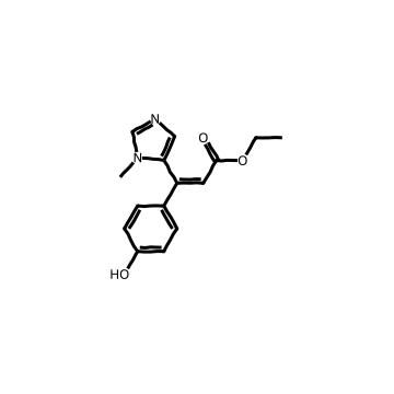 CCOC(=O)C=C(c1ccc(O)cc1)c1cncn1C